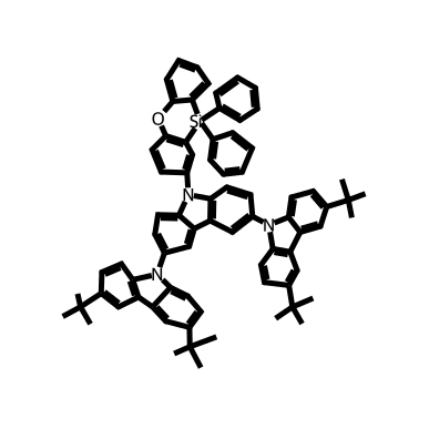 CC(C)(C)c1ccc2c(c1)c1cc(C(C)(C)C)ccc1n2-c1ccc2c(c1)c1cc(-n3c4ccc(C(C)(C)C)cc4c4cc(C(C)(C)C)ccc43)ccc1n2-c1ccc2c(c1)[Si](c1ccccc1)(c1ccccc1)c1ccccc1O2